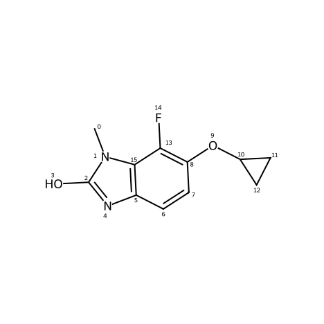 Cn1c(O)nc2ccc(OC3CC3)c(F)c21